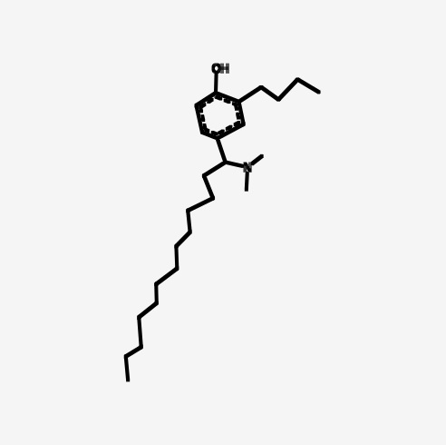 CCCCCCCCCCCCC(c1ccc(O)c(CCCC)c1)N(C)C